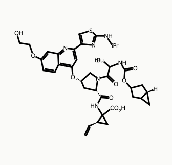 C=C[C@@H]1CC1(NC(=O)[C@@H]1C[C@H](Oc2cc(-c3csc(NC(C)C)n3)nc3cc(OCCO)ccc23)CN1C(=O)C(NC(=O)OC1CC2C[C@H]2C1)C(C)(C)C)C(=O)O